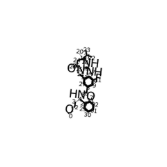 COCC[C@H](NC(=O)c1cc(F)cc(CN2C(=N)N[C@](C)(C(C)C)CC2=O)c1)c1ccccc1